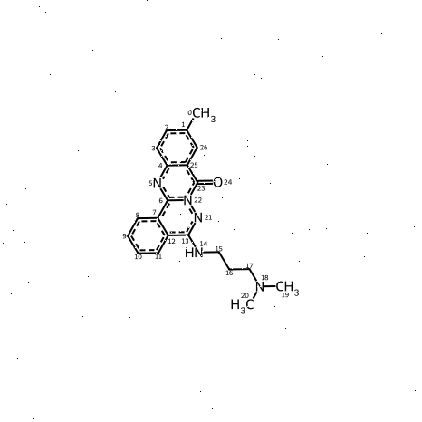 Cc1ccc2nc3c4ccccc4c(NCCCN(C)C)nn3c(=O)c2c1